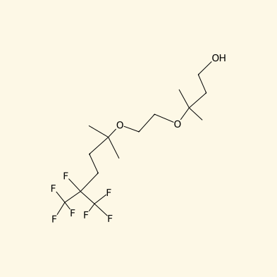 CC(C)(CCO)OCCOC(C)(C)CCC(F)(C(F)(F)F)C(F)(F)F